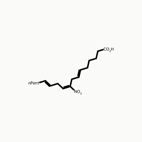 CCCCCC=CCC=C(CC=CCCCCC(=O)O)[N+](=O)[O-]